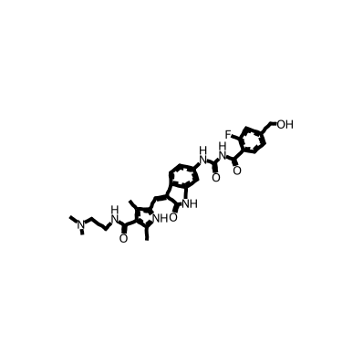 Cc1[nH]c(/C=C2\C(=O)Nc3cc(NC(=O)NC(=O)c4ccc(CO)cc4F)ccc32)c(C)c1C(=O)NCCN(C)C